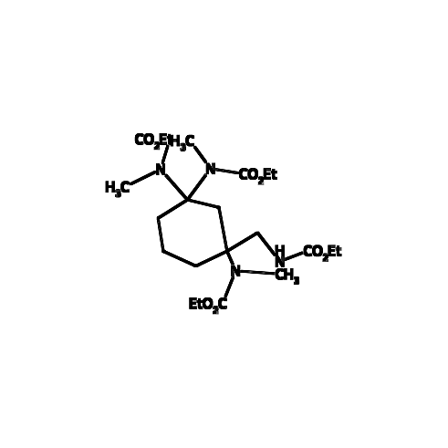 CCOC(=O)NCC1(N(C)C(=O)OCC)CCCC(N(C)C(=O)OCC)(N(C)C(=O)OCC)C1